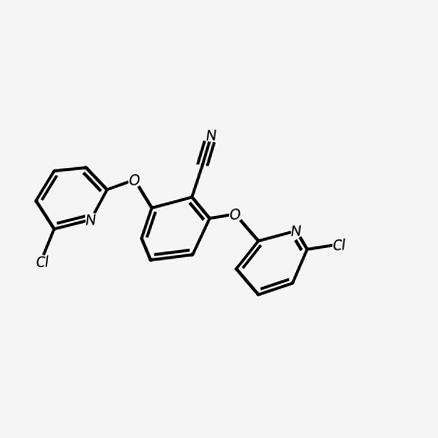 N#Cc1c(Oc2cccc(Cl)n2)cccc1Oc1cccc(Cl)n1